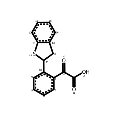 O=C(O)C(=O)c1ccccc1C1Cc2ccccc2S1